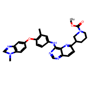 Cc1cc(Nc2ncnc3ccc(C4CCCN(C(=O)OC(C)(C)C)C4)nc23)ccc1Oc1ccc2c(c1)ncn2C